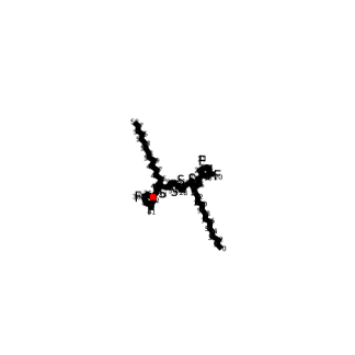 CCCCCCCCCCCCCCc1cc(-c2cc(F)cc(F)c2)sc1-c1cc2sc(-c3sc(-c4cc(F)cc(F)c4)cc3CCCCCCCCCCCCCC)cc2s1